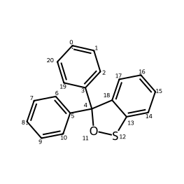 [c]1ccc(C2(c3cc[c]cc3)OSc3ccccc32)cc1